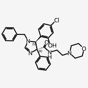 O=C(NCCN1CCOCC1)[C@]1(c2ccccc2)N=CN(Cc2ccccc2)[C@H]1c1ccc(Cl)cc1O